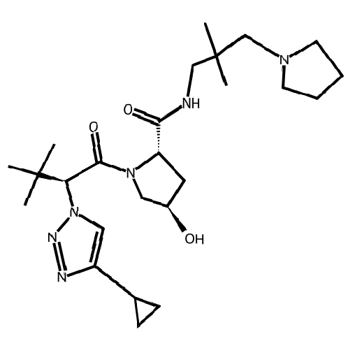 CC(C)(CNC(=O)[C@@H]1C[C@@H](O)CN1C(=O)[C@@H](n1cc(C2CC2)nn1)C(C)(C)C)CN1CCCC1